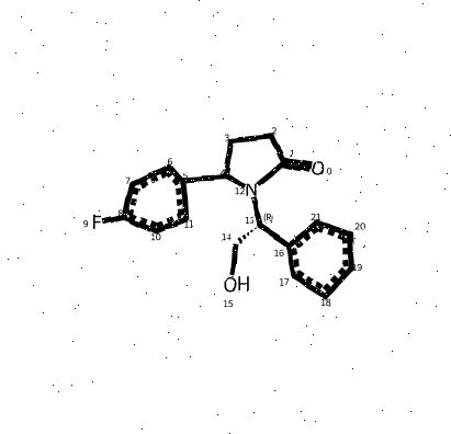 O=C1CCC(c2ccc(F)cc2)N1[C@@H](CO)c1ccccc1